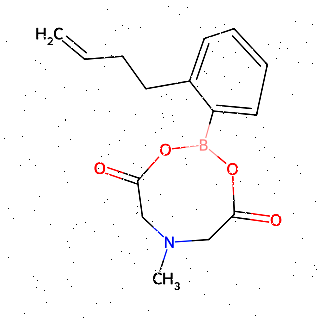 C=CCCc1ccccc1B1OC(=O)CN(C)CC(=O)O1